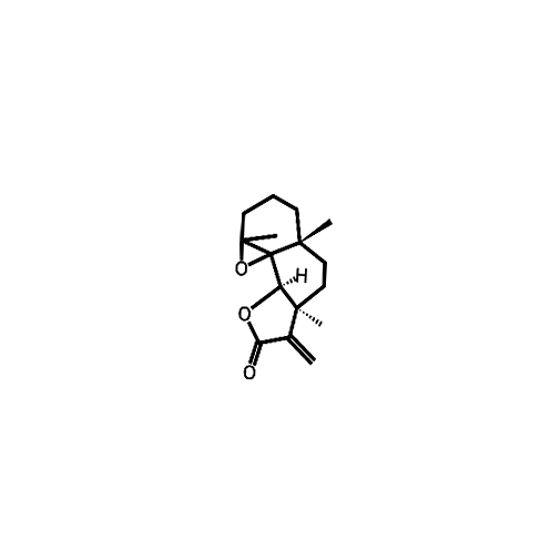 C=C1C(=O)O[C@H]2C34OC3(C)CCC[C@]4(C)CC[C@@]12C